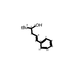 CC(C)(C)C(O)CC=Cc1ccccc1